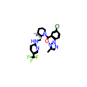 Cc1cnn(-c2ccc(Cl)cc2C(=O)N2CCC[C@@H](C)[C@H]2CNc2ccc(C(F)(F)F)cn2)n1